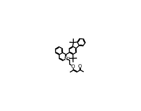 CC(=O)/C=C(/C)OCC[n+]1ccc2ccccc2c1-c1cc2c(cc1C(C)(C)C)-c1ccccc1C2(C)C